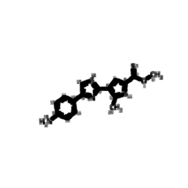 COC(=S)c1cc(-c2nc(-c3ccc(N)cc3)cs2)c(C)s1